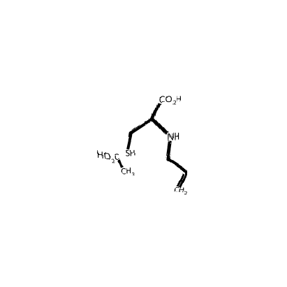 C=CCNC(CS)C(=O)O.CC(=O)O